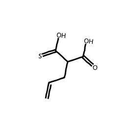 C=CCC(C(=O)O)C(O)=S